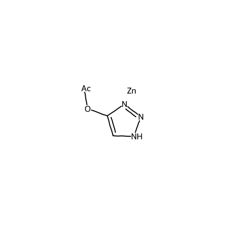 CC(=O)Oc1c[nH]nn1.[Zn]